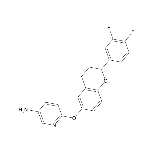 Nc1ccc(Oc2ccc3c(c2)CCC(c2ccc(F)c(F)c2)O3)nc1